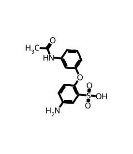 CC(=O)Nc1cccc(Oc2ccc(N)cc2S(=O)(=O)O)c1